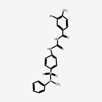 Cc1ccc(C(=O)NC(=S)Nc2ccc(S(=O)(=O)N(C)c3ccccc3)cc2)cc1Br